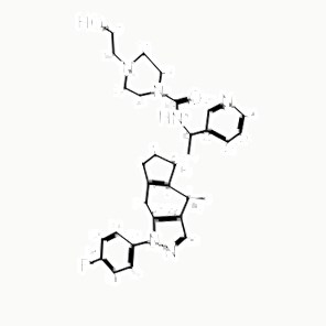 C[C@@H]1C2=C(CC[C@@H]2CC(NC(=O)N2CCN(CCO)CC2)c2cccnc2)Cc2c1cnn2-c1ccc(F)cc1